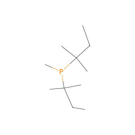 CCC(C)(C)P(C)C(C)(C)CC